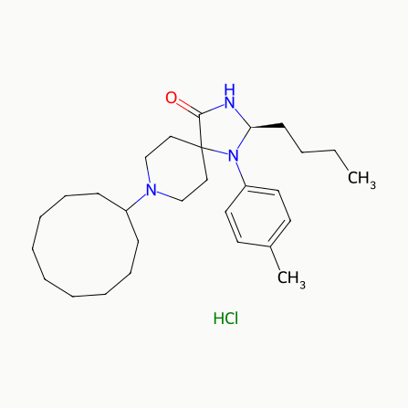 CCCC[C@@H]1NC(=O)C2(CCN(C3CCCCCCCCC3)CC2)N1c1ccc(C)cc1.Cl